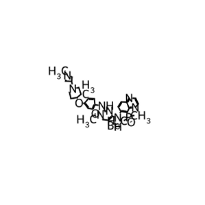 COc1cc(OC2CCN(C3CN(C)C3)CC2)c(C)cc1Nc1ncc(Br)c(Nc2ccc3nccnc3c2P(C)(C)=O)n1